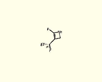 CC[C@@H](F)C1=C(F)NC1